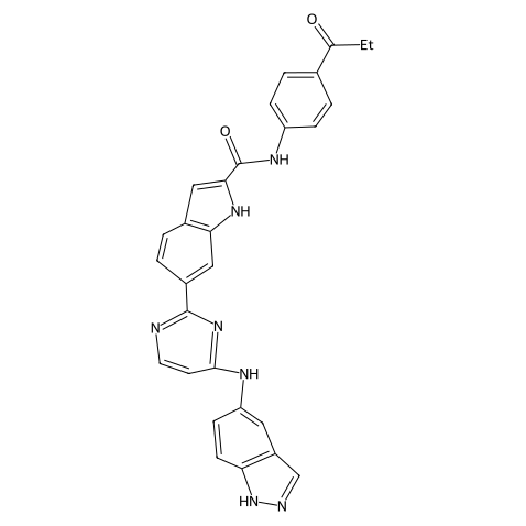 CCC(=O)c1ccc(NC(=O)c2cc3ccc(-c4nccc(Nc5ccc6[nH]ncc6c5)n4)cc3[nH]2)cc1